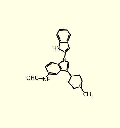 CN1CCC(c2cn(-c3cc4ccccc4[nH]3)c3ccc(NC=O)cc23)CC1